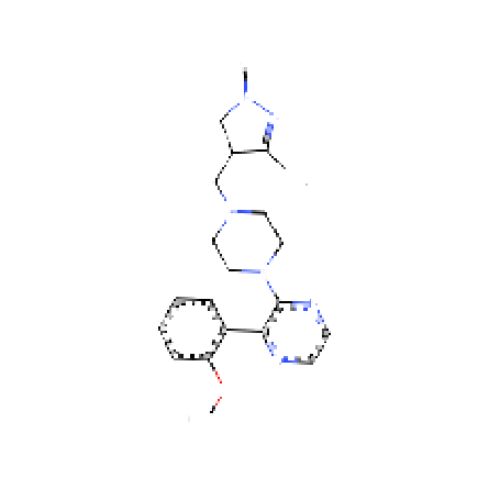 COc1ccccc1-c1nccnc1N1CCN(CC2CN(C)N=C2C)CC1